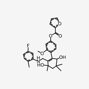 COc1cc(OC(=O)c2ccco2)ccc1C1=C(CNc2cc(F)ccc2C)C(C)(O)CC(C)(C)C1O